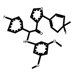 COc1cc(NC(C(=O)c2ccoc2C2=CCC(C)(F)C=C2)c2ccc(F)cc2)cc(OC)c1